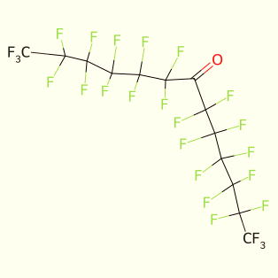 O=C(C(F)(F)C(F)(F)C(F)(F)C(F)(F)C(F)(F)C(F)(F)F)C(F)(F)C(F)(F)C(F)(F)C(F)(F)C(F)(F)C(F)(F)F